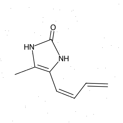 C=C/C=C\c1[nH]c(=O)[nH]c1C